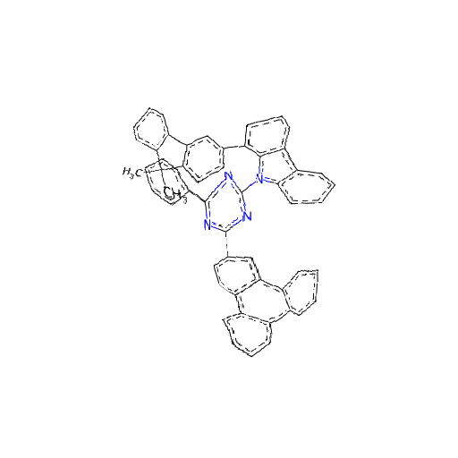 CC1(C)c2ccccc2-c2cc(-c3cccc4c5ccccc5n(-c5nc(-c6ccccc6)nc(-c6ccc7c8ccccc8c8ccccc8c7c6)n5)c34)ccc21